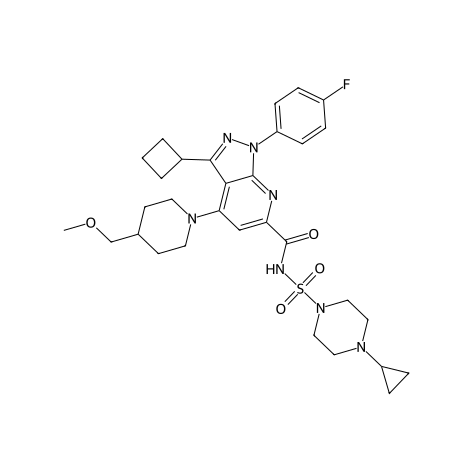 COCC1CCN(c2cc(C(=O)NS(=O)(=O)N3CCN(C4CC4)CC3)nc3c2c(C2CCC2)nn3-c2ccc(F)cc2)CC1